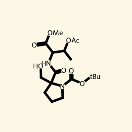 COC(=O)C(NC(=O)C1(CO)CCCN1C(=O)OC(C)(C)C)C(C)OC(C)=O